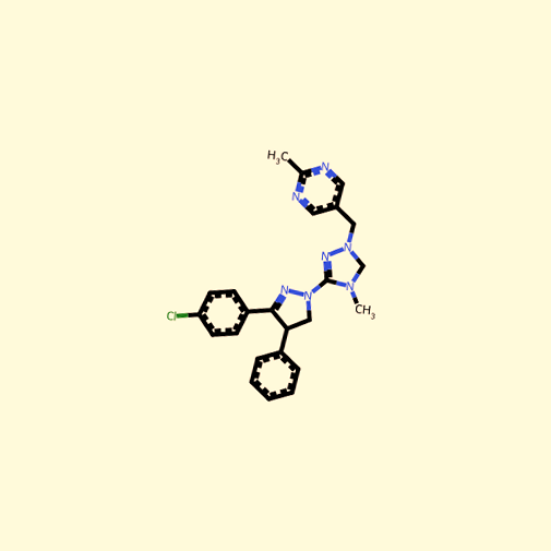 Cc1ncc(CN2CN(C)C(N3CC(c4ccccc4)C(c4ccc(Cl)cc4)=N3)=N2)cn1